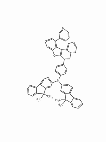 CC1(C)c2ccccc2-c2ccc(N(c3ccc(-c4cc5ccccc5c5c4oc4cccc(-c6cccnc6)c45)cc3)c3ccc4c(c3)C(C)(C)c3ccccc3-4)cc21